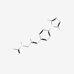 C/C(=C\c1ccc(-n2c(C)ccc2C)cc1)CN(O)C(N)=O